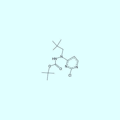 CC(C)(C)CN(NC(=O)OC(C)(C)C)c1ccnc(Cl)n1